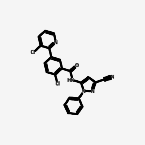 N#Cc1cc(NC(=O)c2cc(-c3ncccc3Cl)ccc2Cl)n(-c2ccccc2)n1